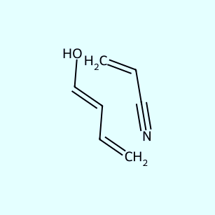 C=CC#N.C=CC=CO